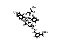 Cn1cc2c(CCCNC(=O)OC(C)(C)C)c(Nc3nc(=O)n(Cc4ncn(CCc5cccc(C(=O)OC(C)(C)C)c5)n4)c(=O)n3Cc3cc(F)c(F)cc3F)c(Cl)cc2n1